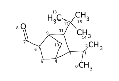 CC(C)C1C2CC(C=O)C(C2)C1C(C)(C)C